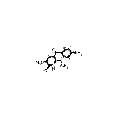 CCc1[nH]c(=O)c(C)cc1C(=O)c1ccc(N)cc1